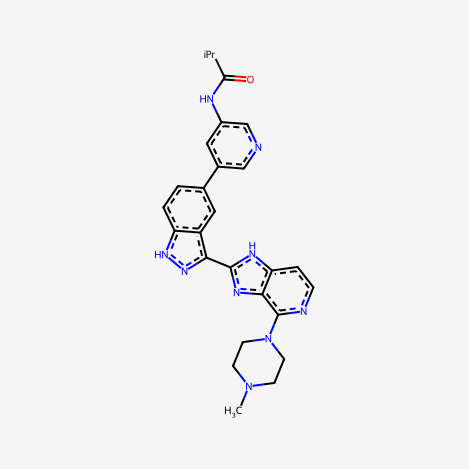 CC(C)C(=O)Nc1cncc(-c2ccc3[nH]nc(-c4nc5c(N6CCN(C)CC6)nccc5[nH]4)c3c2)c1